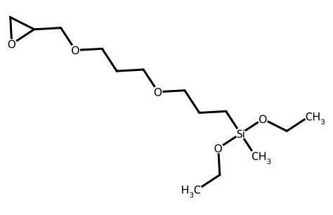 CCO[Si](C)(CCCOCCCOCC1CO1)OCC